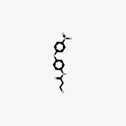 O=C(CCCl)Nc1ccc(Sc2ccc([N+](=O)[O-])cc2)cc1